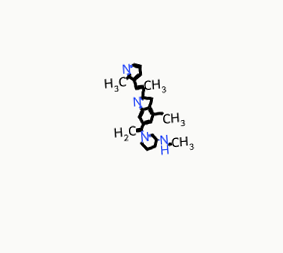 C=C(c1cc(CC)c2c(c1)N=C(/C(C)=C/c1cccnc1C)C2)N1CCC[C@@H](NCC)C1